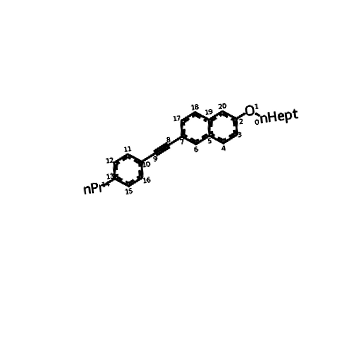 CCCCCCCOc1ccc2cc(C#Cc3ccc(CCC)cc3)ccc2c1